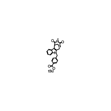 CN1C(=O)C2CN(Cc3c2c2ccccc2n3Cc2ccc(C(=O)OC(C)(C)C)cc2)C1=O